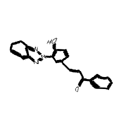 O=C(/C=C/c1ccc(O)c(-n2nc3ccccc3n2)c1)c1ccccc1